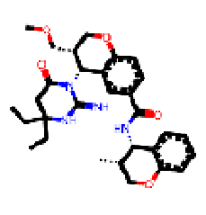 CCC1(CC)CC(=O)N([C@H]2c3cc(C(=O)N[C@@H]4c5ccccc5OC[C@@H]4C)ccc3OC[C@H]2COC)C(=N)N1